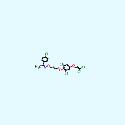 CCc1cc(OCC=C(Cl)Cl)cc(CC)c1OCCCCON=C(C)c1ccc(Cl)cc1